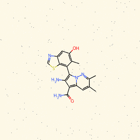 Cc1cc2c(C(N)=O)c(N)c(-c3c(C)c(O)cc4ncsc34)n2nc1C